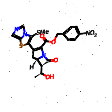 CSc1c(C2=C(C(=O)OCc3ccc([N+](=O)[O-])cc3)N3C(=O)[C@H]([C@@H](C)O)[C@H]3C2)sc2cncn12